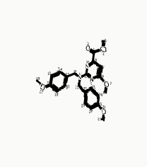 COC(=O)c1cc(OC)nc(N(Cc2ccc(OC)cc2)Cc2ccc(OC)cc2)n1